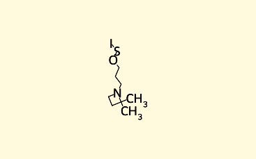 CC1(C)CCN1CCCOSI